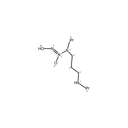 CC(C)NCCCN(C(C)C)[N+]([O-])=NO